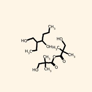 CC(C)(CO)C(=O)OC(=O)C(C)(C)CO.CCCC(O)C(CC)CO